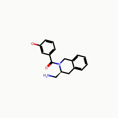 NC[C@@H]1Cc2ccccc2CN1C(=O)c1cccc([O])c1